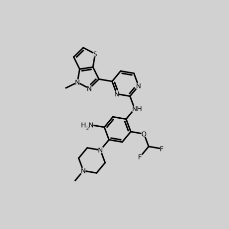 CN1CCN(c2cc(OC(F)F)c(Nc3nccc(-c4nn(C)c5ccsc45)n3)cc2N)CC1